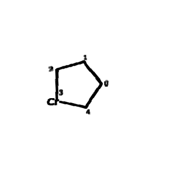 C1C[CH2][Cr][CH2]1